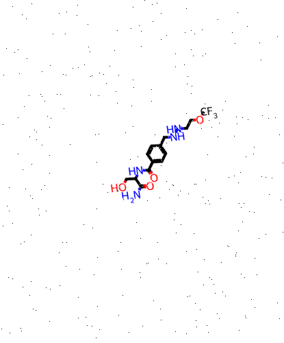 NC(=O)C(CO)NC(=O)c1ccc(CNNCCOC(F)(F)F)cc1